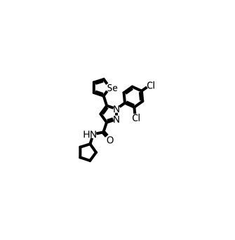 O=C(NC1CCCC1)c1cc(-c2ccc[se]2)n(-c2ccc(Cl)cc2Cl)n1